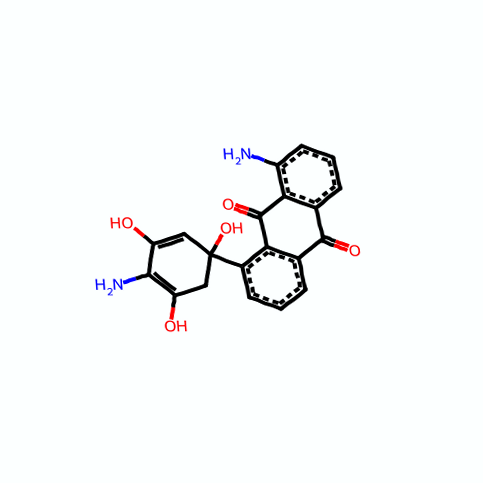 NC1=C(O)CC(O)(c2cccc3c2C(=O)c2c(N)cccc2C3=O)C=C1O